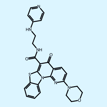 O=C(NCCNc1ccncc1)c1c(=O)c2ccc(N3CCOCC3)nc2n2c1sc1ccccc12